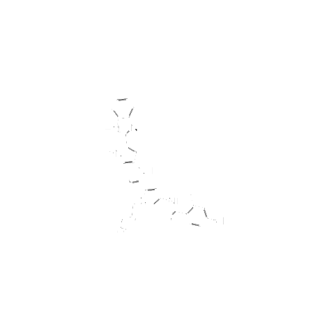 Cn1cc(NC(=O)c2cc(NC(=O)c3ccc(Cl)cc3F)cn2CCCO)cc1-c1nc2ccccc2[nH]1